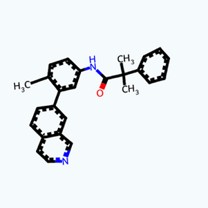 Cc1ccc(NC(=O)C(C)(C)c2ccccc2)cc1-c1ccc2ccncc2c1